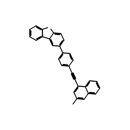 Cc1cc(C#Cc2ccc(-c3ccc4sc5ccccc5c4c3)cc2)c2ccccc2c1